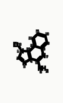 CCn1cnc2c(N)nc3ccccc3c21